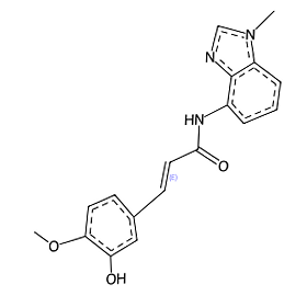 COc1ccc(/C=C/C(=O)Nc2cccc3c2ncn3C)cc1O